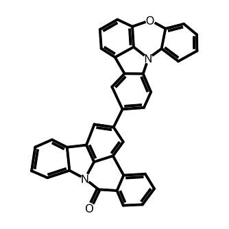 O=c1c2ccccc2c2cc(-c3ccc4c(c3)c3cccc5c3n4-c3ccccc3O5)cc3c4ccccc4n1c23